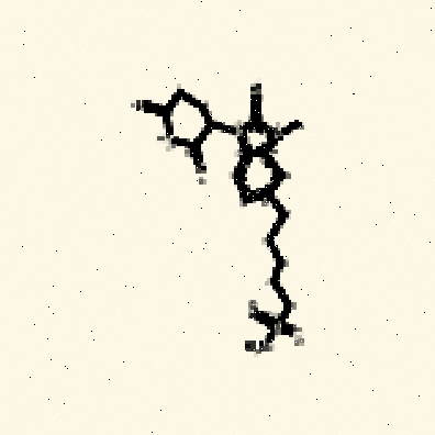 Cn1c(=O)n(C2CCC(=O)NC2=O)c2ccc(CCCCCS(N)(=O)=O)cc21